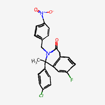 CC1(c2ccc(Cl)cc2)c2cc(F)ccc2C(=O)N1Cc1ccc([N+](=O)[O-])cc1